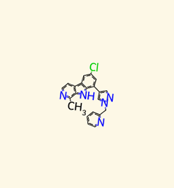 Cc1nccc2c1[nH]c1c(-c3cnn(Cc4ccccn4)c3)cc(Cl)cc12